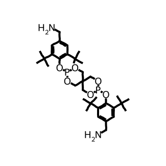 CC(C)(C)c1cc(CN)cc(C(C)(C)C)c1OP1OCC2(CO1)COP(Oc1c(C(C)(C)C)cc(CN)cc1C(C)(C)C)OC2